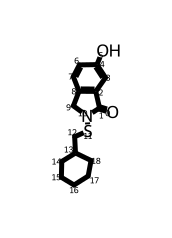 O=C1c2cc(O)ccc2CN1SCC1CCCCC1